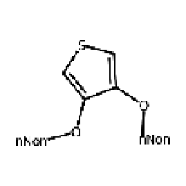 CCCCCCCCCOc1cscc1OCCCCCCCCC